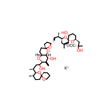 C=C1[C@@H](O)[C@@H]2O[C@]3(CC[C@H](/C=C/[C@@H](C)[C@@H]4CC(C)=C[C@@]5(O[C@H](C[C@@](C)(O)C(=O)[O-])CC[C@H]5O)O4)O3)CC[C@H]2O[C@@H]1[C@@H](O)C[C@H](C)[C@H]1O[C@@]2(CCCCO2)CC[C@H]1C.[K+]